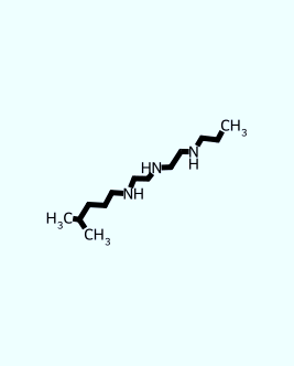 CCCNCCNCCNCCCC(C)C